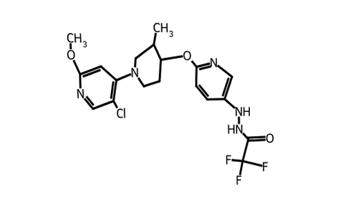 COc1cc(N2CCC(Oc3ccc(NNC(=O)C(F)(F)F)cn3)C(C)C2)c(Cl)cn1